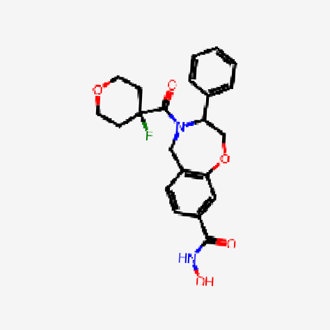 O=C(NO)c1ccc2c(c1)OCC(c1ccccc1)N(C(=O)C1(F)CCOCC1)C2